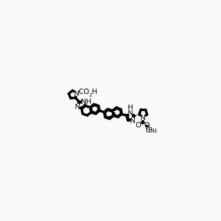 CC(C)(C)OC(=O)N1CCC[C@H]1c1ncc(-c2ccc3cc(-c4ccc5c(c4)CCc4nc(C6CCCN6C(=O)O)[nH]c4-5)ccc3c2)[nH]1